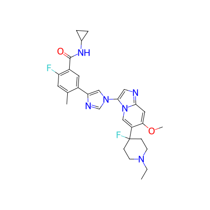 CCN1CCC(F)(c2cn3c(-n4cnc(-c5cc(C(=O)NC6CC6)c(F)cc5C)c4)cnc3cc2OC)CC1